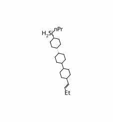 CCC=CC1CCC(C2CCC([C@H]3CC[C@H]([SiH2]CCC)CC3)CC2)CC1